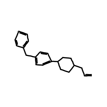 C=CCC1CCC(c2ccc(Cc3cc[c]cc3)cc2)CC1